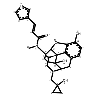 CC1CN(CC2(O)CC2)C2Cc3ccc(O)c4c3[C@]13C(O4)C(N(C)C(=O)/C=C/c1ccoc1)CCC23O